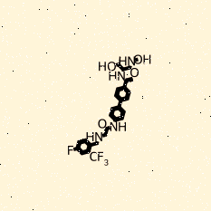 C=C(N[C@H](C(=O)NO)[C@@H](C)O)c1ccc(-c2ccc(NC(=O)CNCc3ccc(F)cc3C(F)(F)F)cc2)cc1